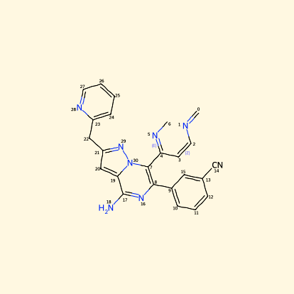 C=N/C=C\C(=N/C)c1c(-c2cccc(C#N)c2)nc(N)c2cc(Cc3ccccn3)nn12